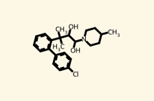 CC1CCN(C(O)C(O)C(C)(C)c2ccccc2-c2ccc(Cl)cc2)CC1